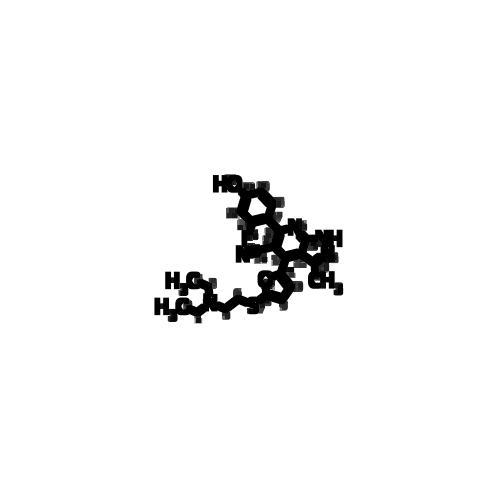 CCN(CC)CCSc1ccc(-c2c(C#N)c(-c3ccc(O)cc3F)nc3[nH]nc(C)c23)o1